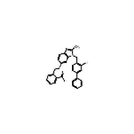 Cc1nc2ccc(OCc3ccccc3C(=O)O)cc2n1Cc1ccc(-c2ccccc2)cc1Cl